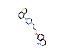 c1cc(N2CCN(CCCOc3ccc4c(c3)NCCC4)CC2)c2ccsc2c1